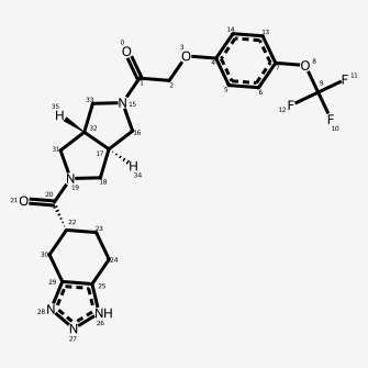 O=C(COc1ccc(OC(F)(F)F)cc1)N1C[C@H]2CN(C(=O)[C@@H]3CCc4[nH]nnc4C3)C[C@@H]2C1